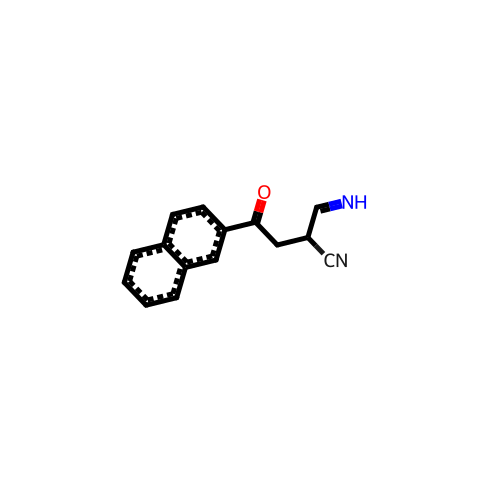 N#CC(C=N)CC(=O)c1ccc2ccccc2c1